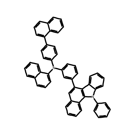 c1ccc(-n2c3ccccc3c3c(-c4cccc(N(c5ccc(-c6cccc7ccccc67)cc5)c5cccc6ccccc56)c4)cc4ccccc4c32)cc1